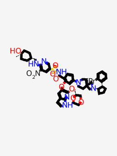 CC(C)c1ccccc1[C@@H]1CCC[C@@H]1N1CC2(CCN(c3ccc(C(=O)NS(=O)(=O)c4cnc(NC[C@H]5CC[C@](C)(O)CC5)c([N+](=O)[O-])c4)c(Oc4cc5cc[nH]c5nc4OC[C@@H]4COCCO4)c3)CC2)C1